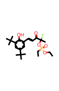 CCOP(=O)(CC)OC(C)(F)C(=O)C=Cc1cc(C(C)(C)C)cc(C(C)(C)C)c1O